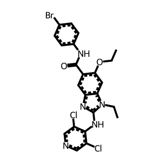 CCOc1cc2c(cc1C(=O)Nc1ccc(Br)cc1)nc(Nc1c(Cl)cncc1Cl)n2CC